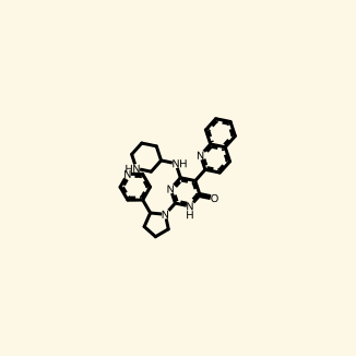 O=c1[nH]c(N2CCCC2c2ccncc2)nc(NC2CCCNC2)c1-c1ccc2ccccc2n1